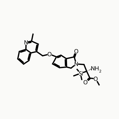 COC(=O)[C@](N)(CN1Cc2ccc(OCc3cc(C)nc4ccccc34)cc2C1=O)[Si](C)(C)C